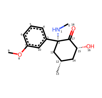 CN[C@@]1(c2cccc(OC)c2)C[C@@H](C)C[C@@H](O)C1=O